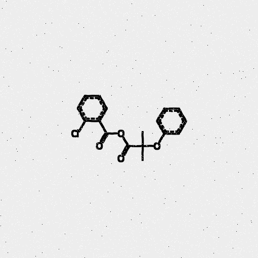 CC(C)(Oc1ccccc1)C(=O)OC(=O)c1ccccc1Cl